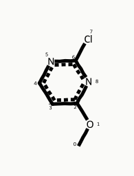 COc1[c]cnc(Cl)n1